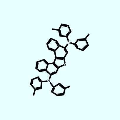 Cc1cccc(N(c2cccc(C)c2)c2cc3sc4cc(N(c5cccc(C)c5)c5cccc(C)c5)c5ccccc5c4c3c3ccccc23)c1